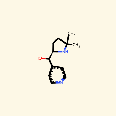 CC1(C)CC[C@H](C(O)c2ccncc2)N1